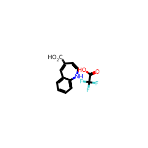 O=C(O)C(F)(F)F.O=C(O)C1=Cc2ccccc2NC=C1